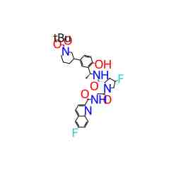 C[C@H](NC(=O)[C@@H]1C[C@@H](F)CN1C(=O)CNC(=O)c1ccc2cc(F)ccc2n1)c1cc(C2CCCN(C(=O)OC(C)(C)C)C2)ccc1O